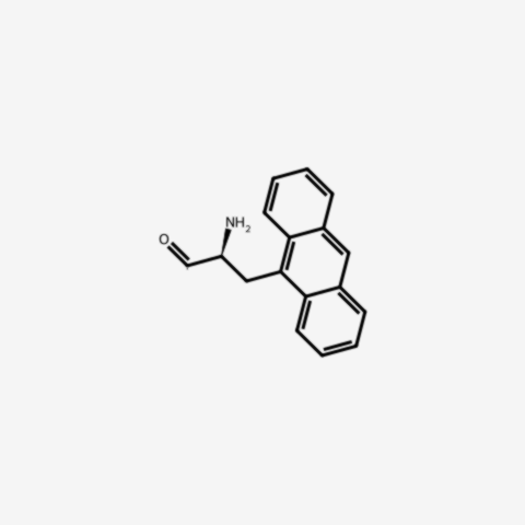 N[C@H]([C]=O)Cc1c2ccccc2cc2ccccc12